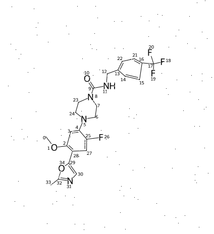 COc1cc(N2CCN(C(=O)NCc3ccc(C(F)(F)F)cc3)CC2)c(F)cc1-c1cnc(C)o1